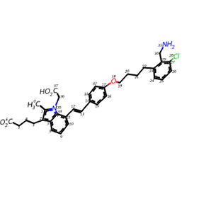 Cc1c(CCCC(=O)O)c2cccc(/C=C/c3ccc(OCCCCc4cccc(Cl)c4CN)cc3)c2n1CC(=O)O